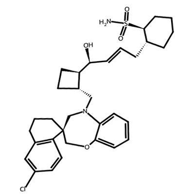 NS(=O)(=O)[C@H]1CCCC[C@@H]1C/C=C/[C@H](O)[C@@H]1CC[C@H]1CN1C[C@@]2(CCCc3cc(Cl)ccc32)COc2ccccc21